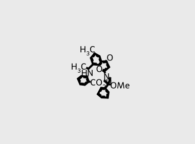 COC1(c2ccccc2)CN(c2cc(=O)c3cc(C)cc(C(C)Nc4ccccc4C(=O)O)c3o2)C1